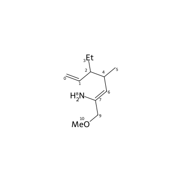 C=CC(CC)C(C)/C=C(\N)COC